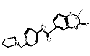 C[C@H]1Sc2ccc(C(=O)Nc3ccc(CN4CCCC4)cc3)cc2NC1=O